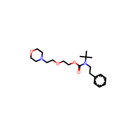 CC(C)(C)N(CCc1ccccc1)C(=O)OCCOCCN1CCOCC1